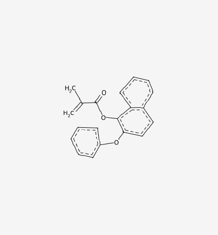 C=C(C)C(=O)Oc1c(Oc2ccccc2)ccc2ccccc12